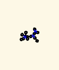 c1ccc(-c2ccc(N(c3ccc(-c4cc5c(-c6ccccc6)c(-c6ccccc6)n(-c6ccc7ccccc7c6)c5c5ccccc45)cc3)c3ccc4c(c3)c3ccccc3n4-c3ccccc3)cc2)cc1